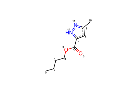 CCCCOC(=O)c1cc(C)n[nH]1